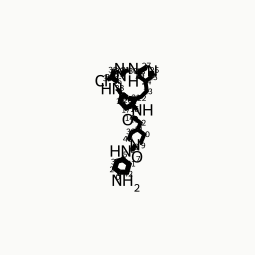 Nc1ccc(NC(=O)N2CCC(CC(=O)Nc3ccc4cc3CCC3C=NC=C(C3)Nc3ncc(Cl)c(n3)N4)CC2)cc1